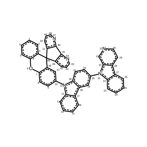 c1ccc2c(c1)Oc1ccc(-n3c4ccccc4c4cc(-n5c6ccccc6c6ccncc65)ccc43)cc1C21c2cccnc2-c2ncccc21